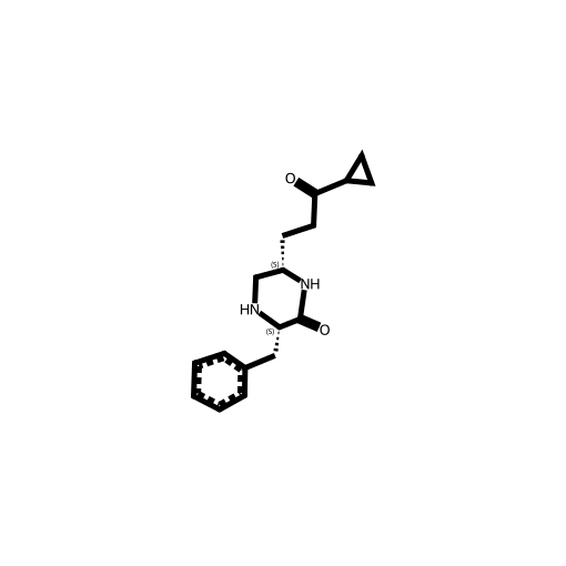 O=C(CC[C@H]1CN[C@@H](Cc2ccccc2)C(=O)N1)C1CC1